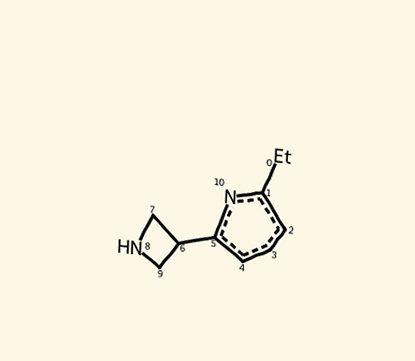 CCc1cccc(C2CNC2)n1